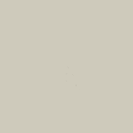 C=Cc1ccc2oc(C(O)C3CCC(F)(F)CC3)nc2n1